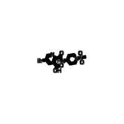 CS(=O)(=O)N1CCC(NC(=O)c2ncc(Br)cc2C(=O)O)CC1